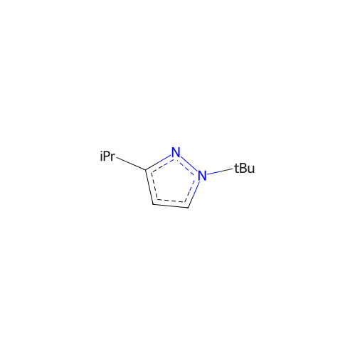 CC(C)c1ccn(C(C)(C)C)n1